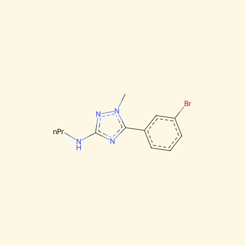 CCCNc1nc(-c2cccc(Br)c2)n(C)n1